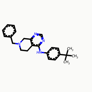 CC(C)(C)c1ccc(Nc2ncnc3c2CCN(Cc2ccccc2)C3)cc1